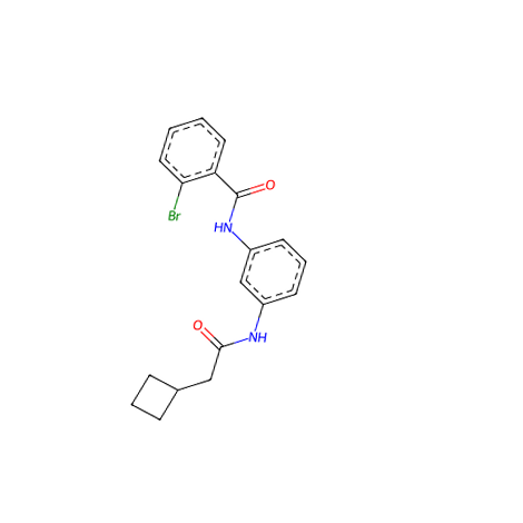 O=C(CC1CCC1)Nc1cccc(NC(=O)c2ccccc2Br)c1